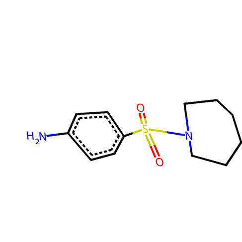 Nc1ccc(S(=O)(=O)N2CCCCCC2)cc1